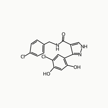 O=C(NCc1ccc(Cl)cc1)c1c[nH]nc1-c1cc(Cl)c(O)cc1O